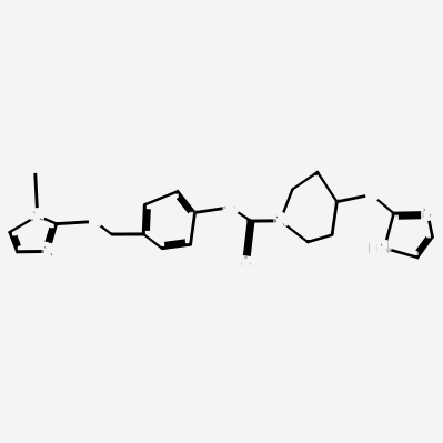 Cn1ccnc1SCc1ccc(OC(=O)N2CCC(Sc3ncc[nH]3)CC2)cc1